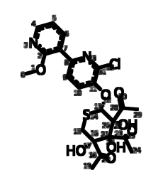 COc1ncccc1-c1ccc(O[C@H]2SC[C@](O)(C(C)=O)[C@@](O)(C(C)=O)[C@]2(O)C(C)=O)c(Cl)n1